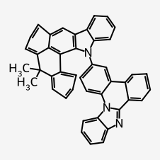 CC1(C)c2ccccc2-c2c3c1cccc3cc1c3ccccc3n(-c3ccc4c(c3)c3ccccc3c3nc5ccccc5n43)c21